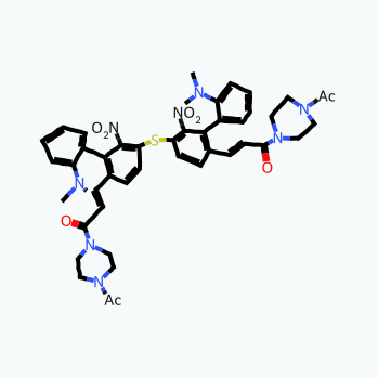 CC(=O)N1CCN(C(=O)/C=C/c2ccc(Sc3ccc(/C=C/C(=O)N4CCN(C(C)=O)CC4)c(-c4ccccc4N(C)C)c3[N+](=O)[O-])c([N+](=O)[O-])c2-c2ccccc2N(C)C)CC1